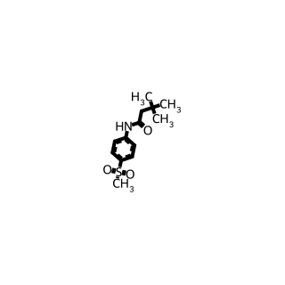 CC(C)(C)CC(=O)Nc1ccc(S(C)(=O)=O)cc1